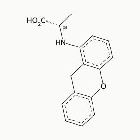 C[C@H](Nc1cccc2c1Cc1ccccc1O2)C(=O)O